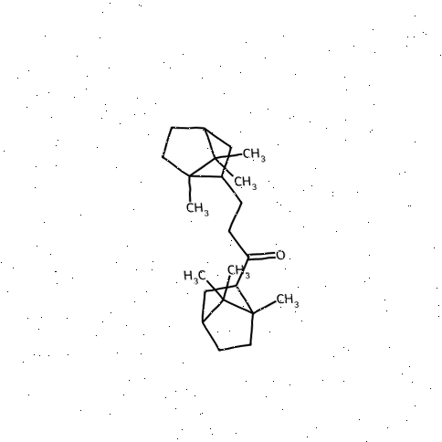 CC1(C)C2CCC1(C)C(CCC(=O)C1CC3CCC1(C)C3(C)C)C2